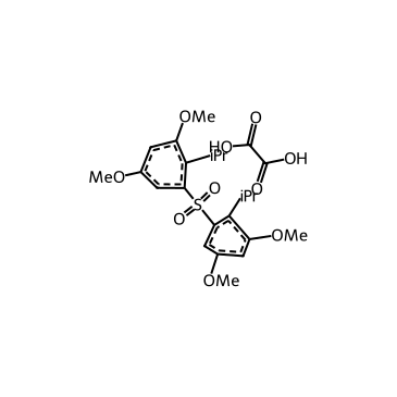 COc1cc(OC)c(C(C)C)c(S(=O)(=O)c2cc(OC)cc(OC)c2C(C)C)c1.O=C(O)C(=O)O